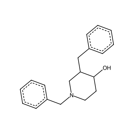 OC1CCN(Cc2ccccc2)CC1Cc1ccccc1